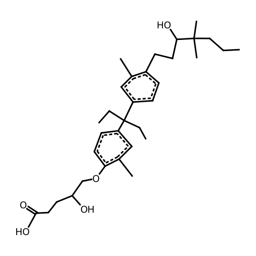 CCCC(C)(C)C(O)CCc1ccc(C(CC)(CC)c2ccc(OCC(O)CCC(=O)O)c(C)c2)cc1C